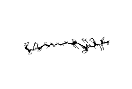 CC(C)NC(=O)CNC(=O)CCCCCCCCCCOC(C)C